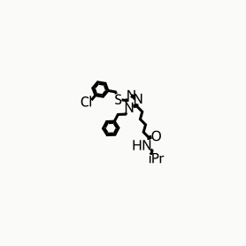 CC(C)CNC(=O)CCCCc1nnc(SCc2cccc(Cl)c2)n1CCc1ccccc1